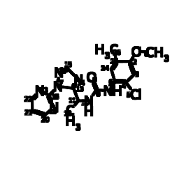 COc1cc(Cl)c(NC(=O)NC(C)c2ncnn2-c2ncccn2)cc1C